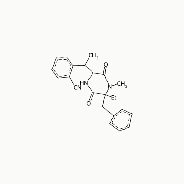 CCC1(Cc2ccccc2)C(=O)NC(C(C)c2ccccc2C#N)C(=O)N1C